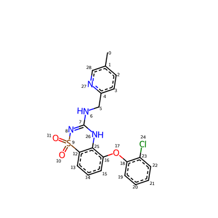 Cc1ccc(CNC2=NS(=O)(=O)c3cccc(Oc4ccccc4Cl)c3N2)nc1